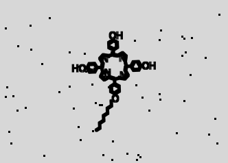 CCCCCCCCCOc1ccc(C2=C3C=CC(=N3)C(c3ccc(O)cc3)=C3C=CC(=N3)C(c3ccc(O)cc3)=C3C=CC(=N3)C(c3ccc(O)cc3)=C3C=CC2=N3)cc1